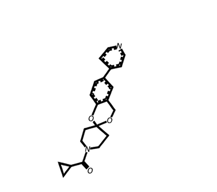 O=C(C1CC1)N1CCC2(CC1)OCc1cc(-c3ccncc3)ccc1O2